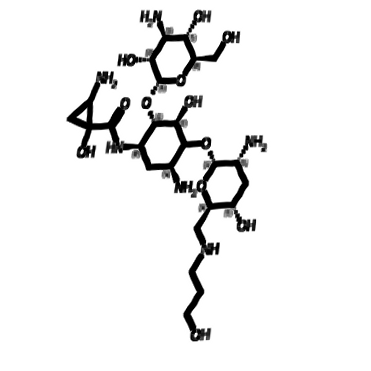 NC1CC1(O)C(=O)N[C@@H]1C[C@H](N)C(O[C@H]2O[C@H](CNCCCO)[C@@H](O)C[C@H]2N)[C@H](O)[C@H]1O[C@H]1O[C@H](CO)[C@@H](O)[C@H](N)[C@H]1O